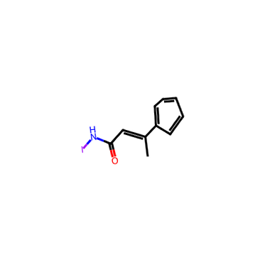 C/C(=C\C(=O)NI)c1ccccc1